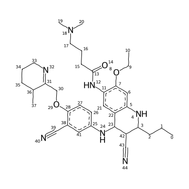 CCCC1Nc2cc(OCC)c(NC(=O)CCCN(C)C)cc2C(Nc2ccc(OCC3=NCCCC3C)c(C#N)c2)C1C#N